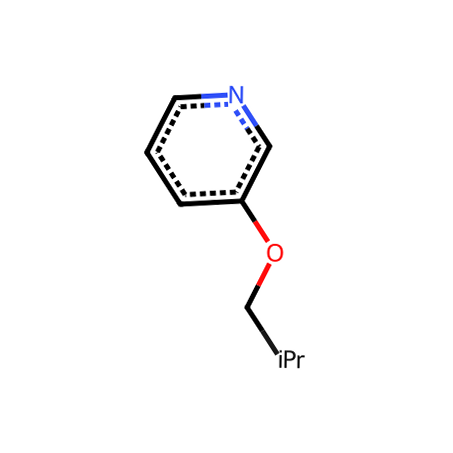 CC(C)COc1cccnc1